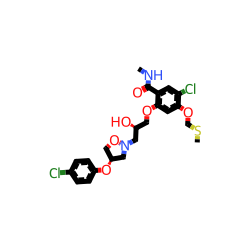 CNC(=O)c1cc(Cl)c(OCSC)cc1OC[C@H](O)CN1C[C@@H](Oc2ccc(Cl)cc2)CO1